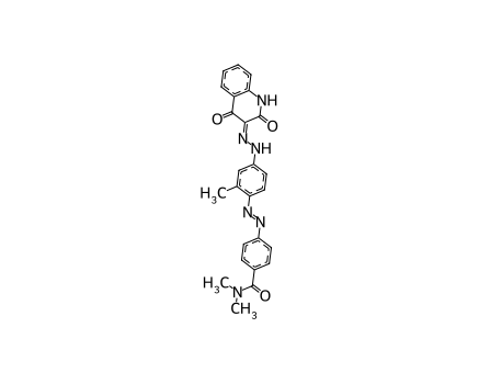 Cc1cc(N/N=C2\C(=O)Nc3ccccc3C2=O)ccc1N=Nc1ccc(C(=O)N(C)C)cc1